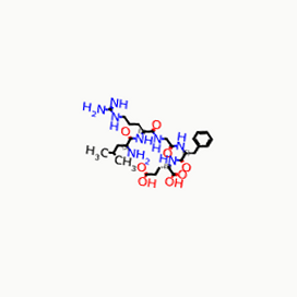 CC(C)C[C@H](N)C(=O)N[C@@H](CCCNC(=N)N)C(=O)NCC(=O)N[C@@H](Cc1ccccc1)C(=O)N[C@@H](CCC(=O)O)C(=O)O